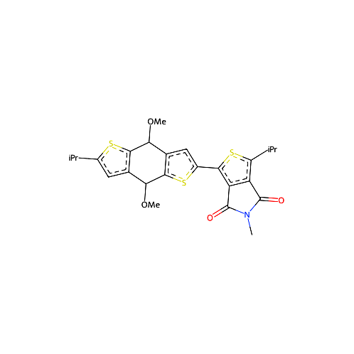 COC1c2cc(C(C)C)sc2C(OC)c2cc(-c3sc(C(C)C)c4c3C(=O)N(C)C4=O)sc21